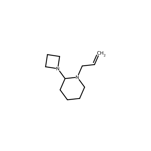 C=CCN1CCCCC1N1CCC1